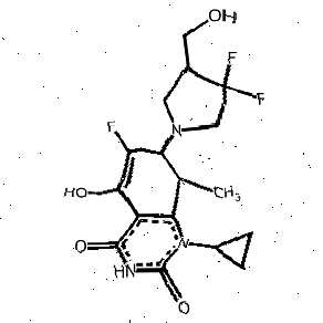 CC1c2c(c(=O)[nH]c(=O)n2C2CC2)C(O)=C(F)C1N1CC(CO)C(F)(F)C1